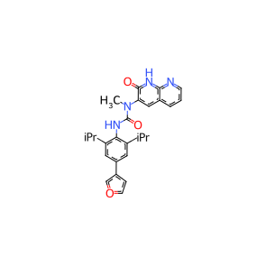 CC(C)c1cc(-c2ccoc2)cc(C(C)C)c1NC(=O)N(C)c1cc2cccnc2[nH]c1=O